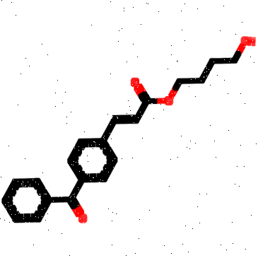 O=C(C=Cc1ccc(C(=O)c2ccccc2)cc1)OCCCCO